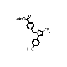 COC(=O)c1ccc(Cn2nc(C(F)(F)F)cc2-c2ccc(C)cc2)cc1